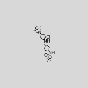 CC1CN(c2ccc(NCC3CCC(NC(=O)OC(C)(C)C)CC3)c(Cl)c2)CC(C)O1